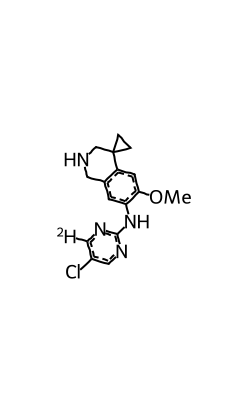 [2H]c1nc(Nc2cc3c(cc2OC)C2(CC2)CNC3)ncc1Cl